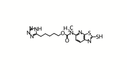 CN(C(=O)OCCCCCc1nnn[nH]1)c1ccc2nc(S)sc2n1